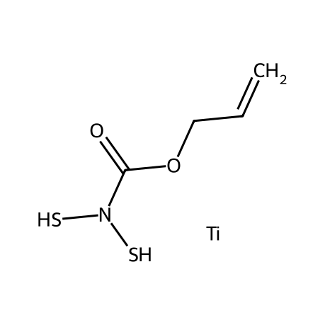 C=CCOC(=O)N(S)S.[Ti]